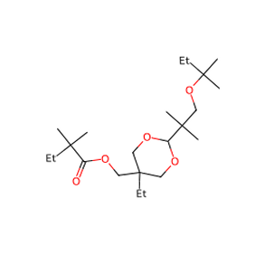 CCC1(COC(=O)C(C)(C)CC)COC(C(C)(C)COC(C)(C)CC)OC1